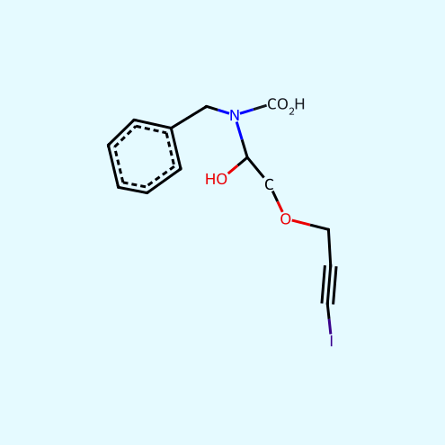 O=C(O)N(Cc1ccccc1)C(O)COCC#CI